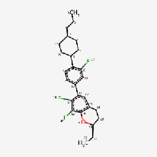 CCCC1CCC(c2ccc(-c3cc4c(c(F)c3F)OC(CC)CC4)cc2F)CC1